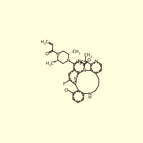 C=CC(=O)N1C[C@H](C)N(c2nc(=O)n3c4nc(c(F)cc24)-c2c(Cl)cccc2NCCCc2ccnc(C(C)C)c2-3)C[C@H]1C